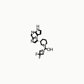 OC(N1CCC[C@@H](c2cnc3cnc4[nH]ccc4n23)C1)N1CC(F)(F)C1